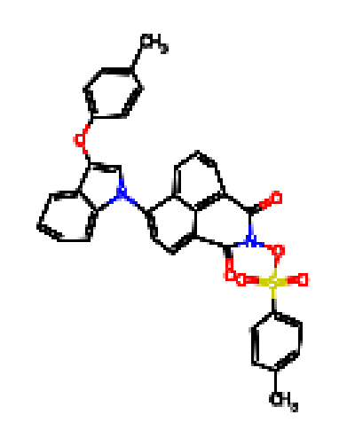 Cc1ccc(Oc2cn(-c3ccc4c5c(cccc35)C(=O)N(OS(=O)(=O)c3ccc(C)cc3)C4=O)c3ccccc23)cc1